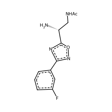 CC(=O)NC[C@@H](N)c1nc(-c2cccc(F)c2)no1